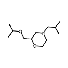 CC(C)CN1CCO[C@@H](COC(C)C)C1